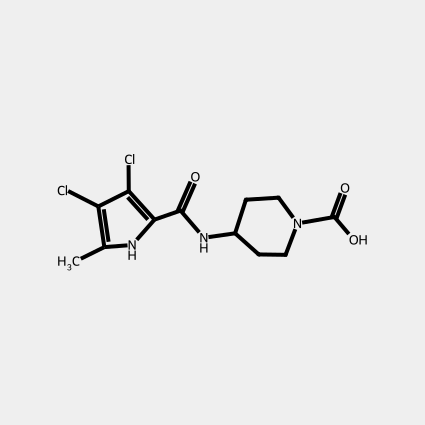 Cc1[nH]c(C(=O)NC2CCN(C(=O)O)CC2)c(Cl)c1Cl